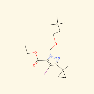 CCOC(=O)c1c(I)c(C2(C)CC2)nn1COCC[Si](C)(C)C